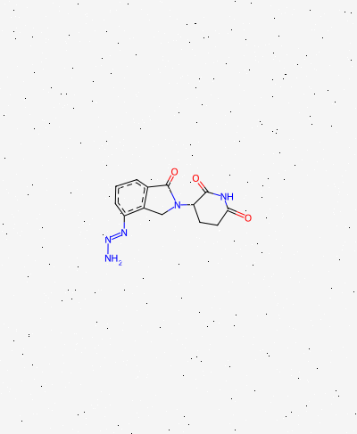 NN=Nc1cccc2c1CN(C1CCC(=O)NC1=O)C2=O